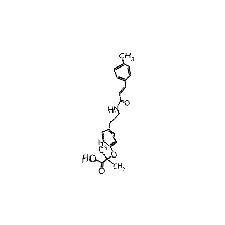 Cc1ccc(C=CC(=O)NCCc2ccc(OC(C)(C)C(=O)O)cc2)cc1